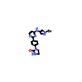 CCC(C)n1cc(Nc2ccnc(-c3ccc(N4CCNC4=O)cc3)n2)cn1